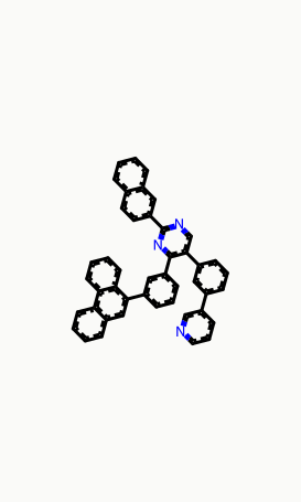 c1cncc(-c2cccc(-c3cnc(-c4ccc5ccccc5c4)nc3-c3cccc(-c4cc5ccccc5c5ccccc45)c3)c2)c1